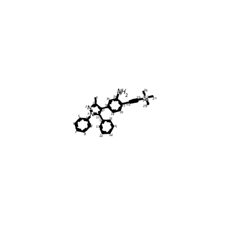 Cc1nn(-c2ccccc2)c(-c2ccccc2)c1-c1ccc(C#C[Si](C)(C)C)c(N)c1